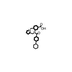 O=C(O)c1ccc2c(c1)N(C(=O)c1ccc(C3CCCCC3)cc1)Cc1cccn1C2